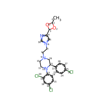 CC1OC(c2cn(CCN3CCN(c4ccc(Cl)cc4Cl)[C@H](c4ccc(Cl)cc4)C3)cn2)O1